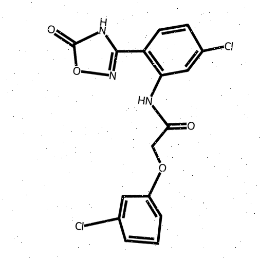 O=C(COc1cccc(Cl)c1)Nc1cc(Cl)ccc1-c1noc(=O)[nH]1